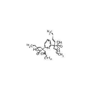 C=CC=CC(C=CC=C)(c1cccc(C(C=CC=C)(C=CC=C)P(=O)(O)O)n1)P(=O)(O)O